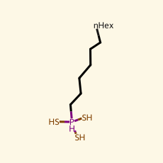 CCCCCCCCCCCC[PH](S)(S)S